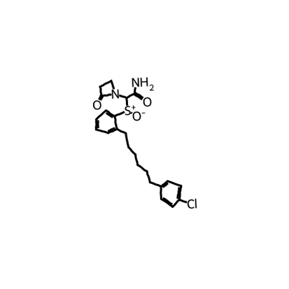 NC(=O)C(N1CCC1=O)[S+]([O-])c1ccccc1CCCCCCc1ccc(Cl)cc1